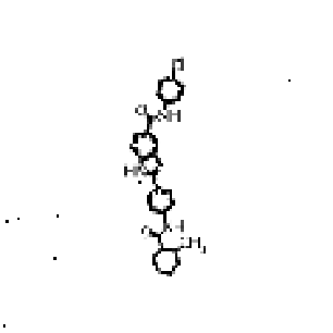 CC1CCCCC1C(=O)Nc1ccc(-c2cc3cc(C(=O)Nc4ccc(Cl)cc4)ccc3[nH]2)cc1